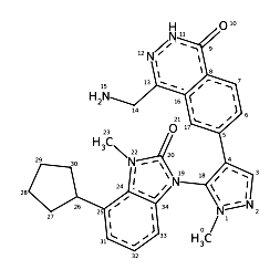 Cn1ncc(-c2ccc3c(=O)[nH]nc(CN)c3c2)c1-n1c(=O)n(C)c2c(C3CCCC3)cccc21